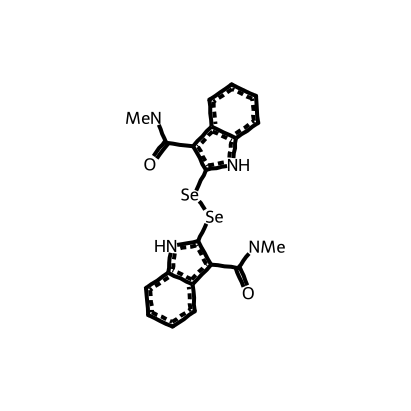 CNC(=O)c1c([Se][Se]c2[nH]c3ccccc3c2C(=O)NC)[nH]c2ccccc12